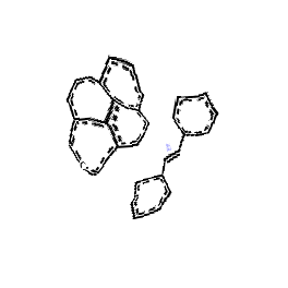 C(=C\c1ccccc1)/c1ccccc1.c1cc2ccc3cccc4ccc(c1)c2c34